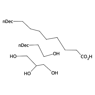 CCCCCCCCCCCCCCCCCC(=O)O.CCCCCCCCCCCCO.OCC(O)CO